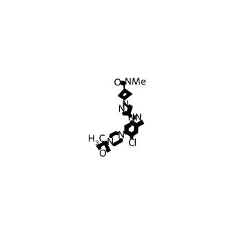 CNC(=O)[C@H]1C[C@H](n2cc(-n3ncc4cc(Cl)c(N5CCN(C6(C)COC6)CC5)cc43)cn2)C1